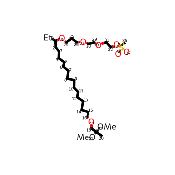 CCC(CCCCCCCCCCCCCCCOCC(C)(OC)OC)OCCCOCCOCCOS(C)(=O)=O